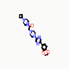 O=C(CN1CCN(c2cnc(-c3ccc4c(c3)OCCO4)cn2)CC1)N1CCN(C2CCC2)CC1